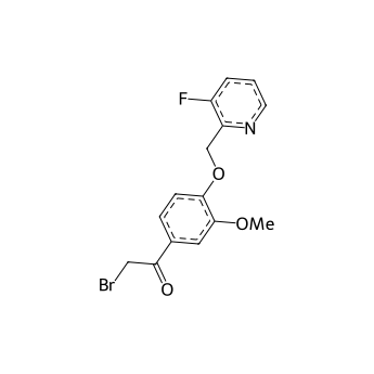 COc1cc(C(=O)CBr)ccc1OCc1ncccc1F